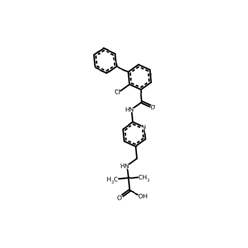 CC(C)(NCc1ccc(NC(=O)c2cccc(-c3ccccc3)c2Cl)nc1)C(=O)O